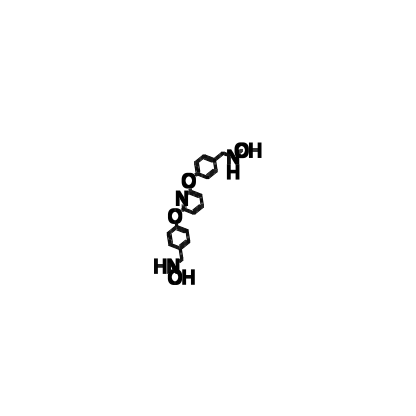 ONCc1ccc(Oc2cccc(Oc3ccc(CNO)cc3)n2)cc1